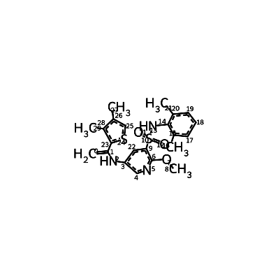 C=C(Nc1cnc(OC)c(S(=O)(=O)Nc2c(C)cccc2C)c1)c1scc(C)c1C